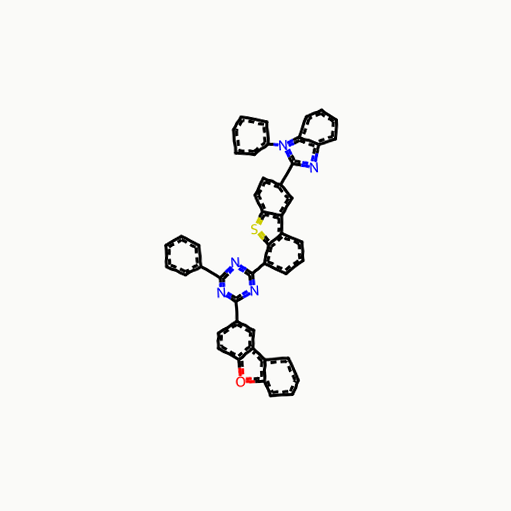 c1ccc(-c2nc(-c3ccc4oc5ccccc5c4c3)nc(-c3cccc4c3sc3ccc(-c5nc6ccccc6n5-c5ccccc5)cc34)n2)cc1